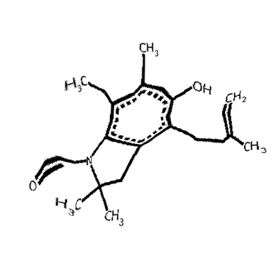 C=C(C)Cc1c(O)c(C)c(C)c2c1CC(C)(C)N2C=O